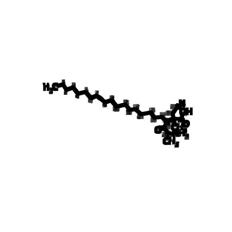 CCCCCCCCCCCCCCCCCCN(C(=O)[C@@H](C)N)[C@](C)(CC#N)C(=O)O